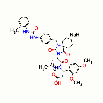 COc1ccc([C@H](CC(=O)O)NC(=O)[C@H](CC(C)C)N2C(=O)N(Cc3ccc(NC(=O)Nc4ccccc4C)cc3)C3(CCCCC3)C2=O)c(OC)c1.[NaH]